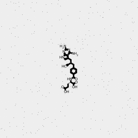 C#CC(Cc1ccc(C(=O)N[C@@H](CCC(=O)O)C(=O)O)cc1)Cc1c[nH]c2nc(N)nc(N)c12